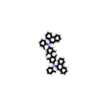 Cc1ccccc1N(c1cc(C)c(-c2c(C)cc(N(c3ccccc3C)c3cc4ccccc4c4ccccc34)cc2C)c(C)c1)c1cc2ccccc2c2ccccc12